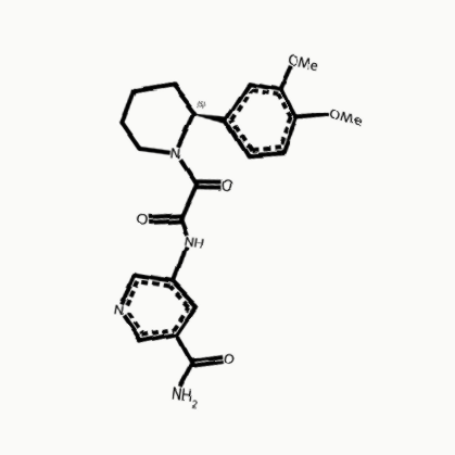 COc1ccc([C@@H]2CCCCN2C(=O)C(=O)Nc2cncc(C(N)=O)c2)cc1OC